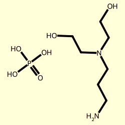 NCCCN(CCO)CCO.O=P(O)(O)O